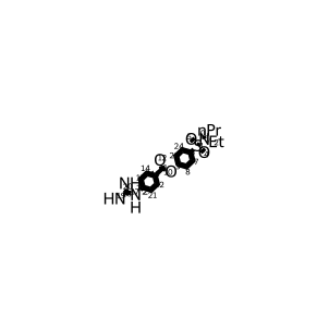 CCCN(CC)S(=O)(=O)c1ccc(OC(=O)c2ccc(NC(=N)N)cc2)cc1